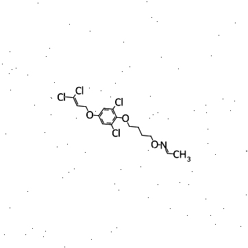 CC=NOCCCCOc1c(Cl)cc(OCC=C(Cl)Cl)cc1Cl